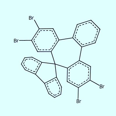 Brc1cc2c(cc1Br)C1(c3cc(Br)c(Br)cc3-c3ccccc3-2)c2ccccc2-c2ccccc21